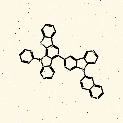 c1ccc(-n2c3ccccc3c3c(-c4ccc5c(c4)c4ccccc4n5-c4ccc5ccccc5c4)cc4c5ccccc5sc4c32)cc1